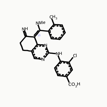 CN/C(=C1\C(=N)CCc2cnc(Nc3ccc(C(=O)O)cc3Cl)nc21)c1ccccc1C